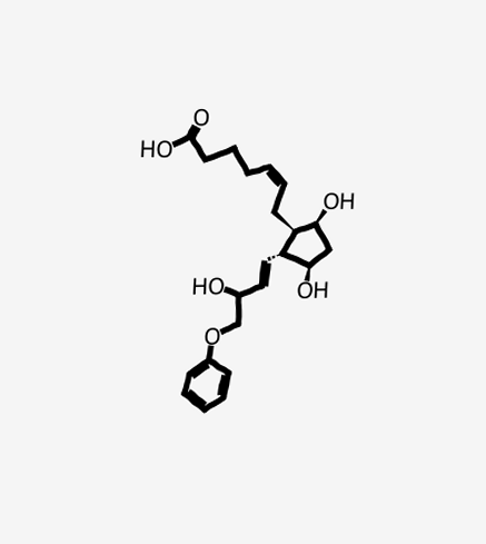 O=C(O)CCC/C=C\C[C@@H]1[C@@H](/C=C/C(O)COc2ccccc2)[C@H](O)C[C@@H]1O